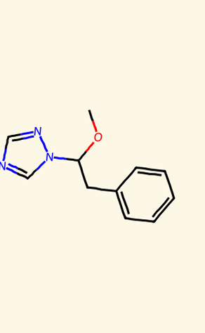 COC(Cc1ccccc1)n1cncn1